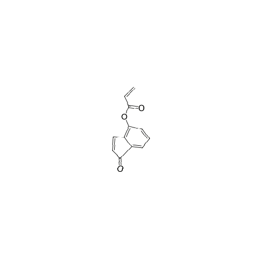 C=CC(=O)Oc1cccc2c1C=CC2=O